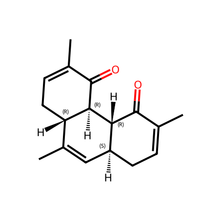 CC1=CC[C@H]2C=C(C)[C@@H]3CC=C(C)C(=O)[C@H]3[C@@H]2C1=O